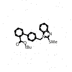 CSc1nc2ccccc2n1Cc1ccc(-c2ccccc2C(=O)OC(C)(C)C)cc1